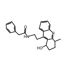 CC1CCC(O)c2c1nc1ccccc1c2CCNC(=O)Cc1ccccc1